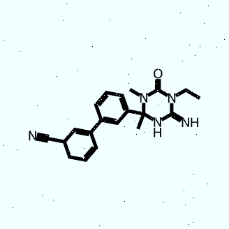 CCN1C(=N)NC(C)(c2cccc(C3=CC(C#N)CC=C3)c2)N(C)C1=O